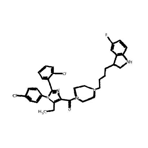 CCc1c(C(=O)N2CCN(CCCCC3CNc4ccc(F)cc43)CC2)nc(-c2ccccc2Cl)n1-c1ccc(Cl)cc1